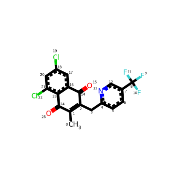 CC1=C(Cc2ccc(C(F)(F)F)cn2)C(=O)c2cc(Cl)cc(Cl)c2C1=O